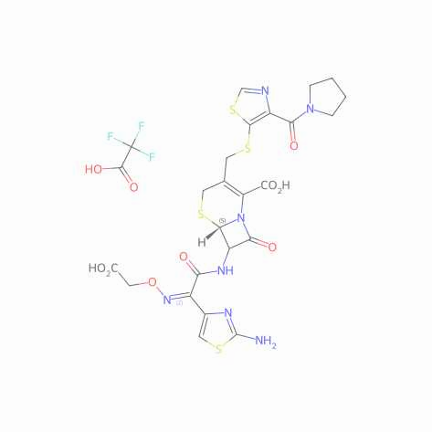 Nc1nc(/C(=N/OCC(=O)O)C(=O)NC2C(=O)N3C(C(=O)O)=C(CSc4scnc4C(=O)N4CCCC4)CS[C@@H]23)cs1.O=C(O)C(F)(F)F